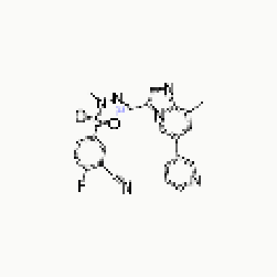 Cc1cc(-c2cccnc2)cn2c(/C=N/N(C)S(=O)(=O)c3ccc(F)c(C#N)c3)cnc12